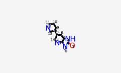 Cn1c(=O)[nH]c2cc(-c3cccnc3)cnc21